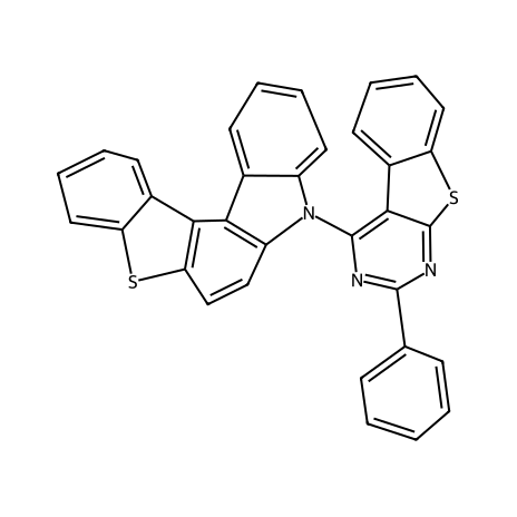 c1ccc(-c2nc(-n3c4ccccc4c4c5c(ccc43)sc3ccccc35)c3c(n2)sc2ccccc23)cc1